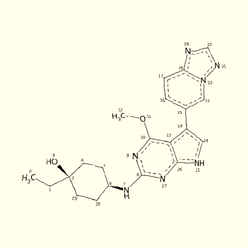 CC[C@]1(O)CC[C@@H](Nc2nc(OC)c3c(-c4ccc5ncnn5c4)c[nH]c3n2)CC1